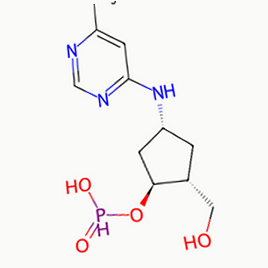 Cc1cc(N[C@@H]2C[C@H](CO)[C@@H](O[PH](=O)O)C2)ncn1